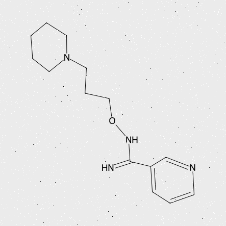 N=C(NOCCCN1CCCCC1)c1cccnc1